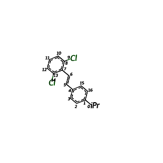 CC(C)c1ccc(/C=C/c2c(Cl)cccc2Cl)cc1